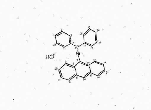 Cl.c1ccc([P]([Ni][c]2c3ccccc3cc3ccccc23)c2ccccc2)cc1